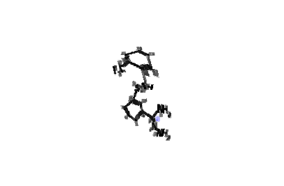 N/N=C(\N)c1cccc(SNc2ccccc2C(F)(F)F)c1